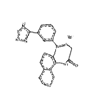 O=C1CN=C(c2cccc(-c3nnn[nH]3)c2)c2ccc3ccccc3c2N1.[NaH]